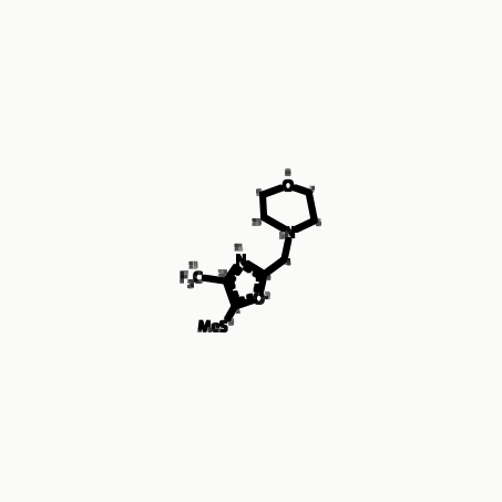 CSc1oc(CN2CCOCC2)nc1C(F)(F)F